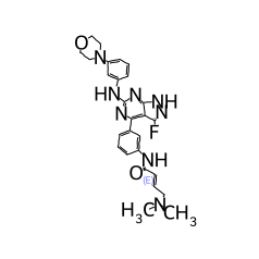 CN(C)C/C=C/C(=O)Nc1cccc(-c2nc(Nc3cccc(N4CCOCC4)c3)nc3[nH]nc(F)c23)c1